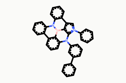 c1ccc(-c2cccc(N3c4cccc5c4B4c6c(cn(-c7ccccc7)c63)-c3ccccc3N4c3ccccc3-5)c2)cc1